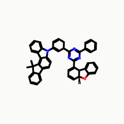 CC1(C)c2ccccc2-c2ccc3c(c21)c1ccccc1n3C1=CC(c2nc(C3=CC=C[C@H]4Oc5ccccc5C34)nc(-c3ccccc3)n2)CC=C1